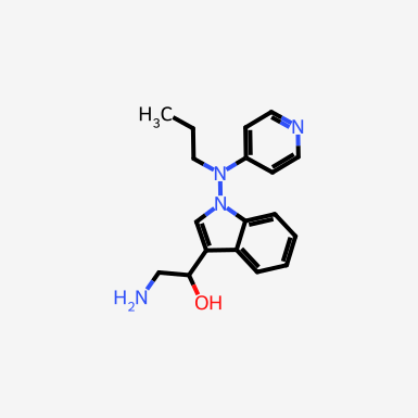 CCCN(c1ccncc1)n1cc(C(O)CN)c2ccccc21